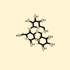 OCC1OC(OC2C(CO)OC(O)C(O)C2OCC2OCC(O)C(O)C2O)C(O)C(O)C1O